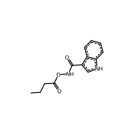 CCCC(=O)ONC(=O)c1c[nH]c2ccccc12